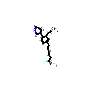 C=CCc1cc(C=CCCCC(C)F)ccc1-c1cccnc1